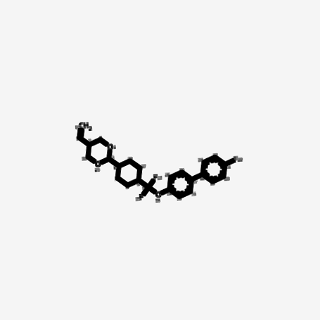 C=CC1COC(C2CCC(C(F)(F)Oc3ccc(-c4ccc(F)cc4)cc3)CC2)OC1